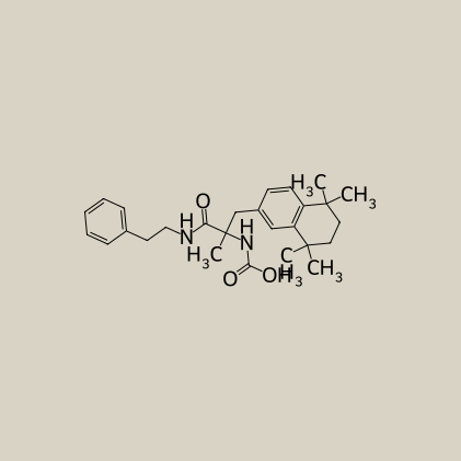 CC(Cc1ccc2c(c1)C(C)(C)CCC2(C)C)(NC(=O)O)C(=O)NCCc1ccccc1